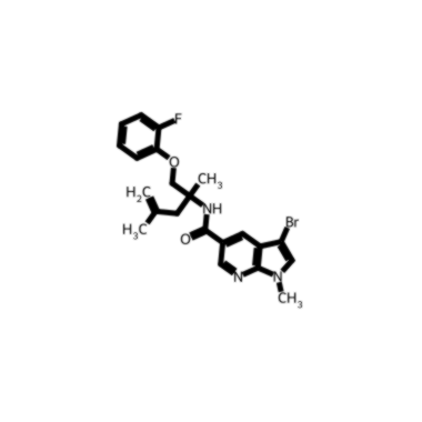 C=C(C)CC(C)(COc1ccccc1F)NC(=O)c1cnc2c(c1)c(Br)cn2C